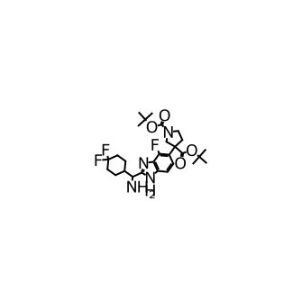 CC(C)(C)OC(=O)N1CCC(C(=O)OC(C)(C)C)(c2ccc3[nH]c(C(N)C4CCC(F)(F)CC4)nc3c2F)C1